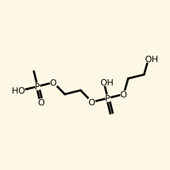 C=P(O)(OCCO)OCCOP(C)(=O)O